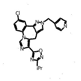 CC(C)c1noc(-c2ncn3c2Cc2cn(Cc4ccncc4)nc2-c2cc(Cl)ccc2-3)n1